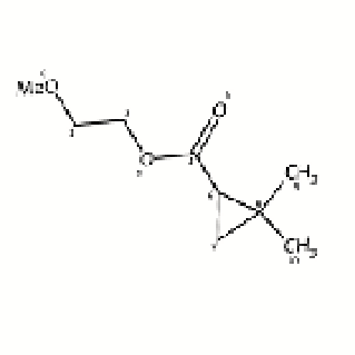 COCCOC(=O)C1CC1(C)C